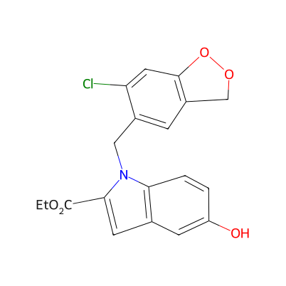 CCOC(=O)c1cc2cc(O)ccc2n1Cc1cc2c(cc1Cl)OOC2